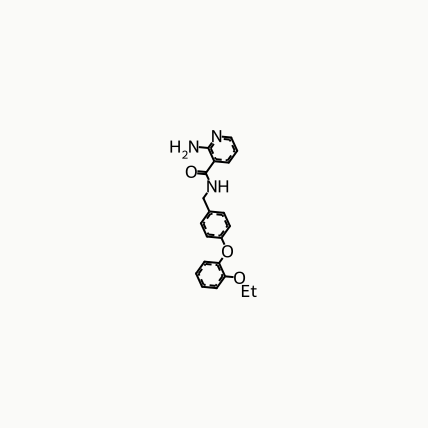 CCOc1ccccc1Oc1ccc(CNC(=O)c2cccnc2N)cc1